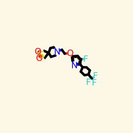 O=S1(=O)CC2(CCN(CCOc3cnc(C4CCC(C(F)(F)F)CC4)c(F)c3)CC2)C1